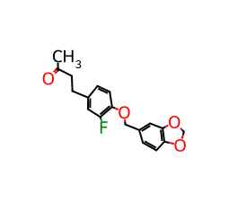 CC(=O)CCc1ccc(OCc2ccc3c(c2)OCO3)c(F)c1